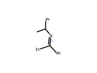 CC/C(=N\C(C)C(C)C)C(C)C